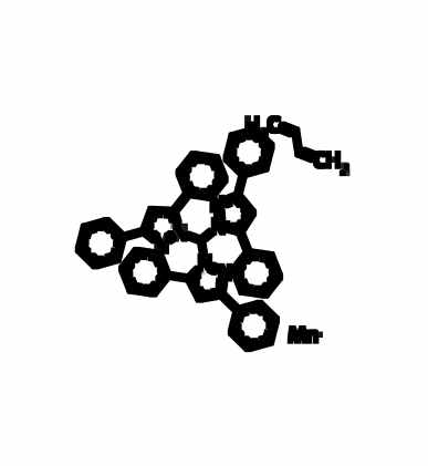 C=CC=C.[Mn].c1ccc(-c2cc(-c3ccccc3)n(C(n3nc(-c4ccccc4)cc3-c3ccccc3)n3nc(-c4ccccc4)cc3-c3ccccc3)n2)cc1